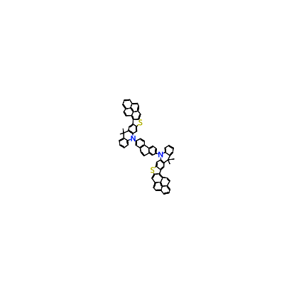 CC1(C)c2ccccc2N(c2ccc3c(ccc4cc(N5c6ccccc6C(C)(C)c6cc7c(cc65)sc5cc6ccc8cccc9ccc(c57)c6c89)ccc43)c2)c2cc3sc4cc5ccc6cccc7ccc(c4c3cc21)c5c67